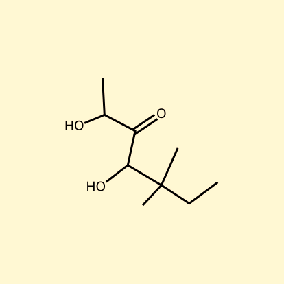 CCC(C)(C)C(O)C(=O)C(C)O